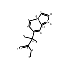 CCC(=O)C(C)(C)c1ccn2ccnc2c1